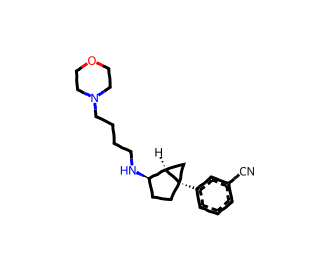 N#Cc1cccc([C@]23CC[C@@H](NCCCCN4CCOCC4)[C@H]2C3)c1